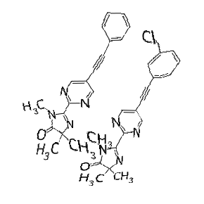 CN1C(=O)C(C)(C)N=C1c1ncc(C#Cc2cccc(Cl)c2)cn1.CN1C(=O)C(C)(C)N=C1c1ncc(C#Cc2ccccc2)cn1